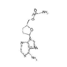 Nc1ncnc2c1ncn2[C@H]1CC[C@@H](CO[PH](N)=O)O1